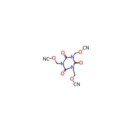 N#COCn1c(=O)n(COC#N)c(=O)n(COC#N)c1=O